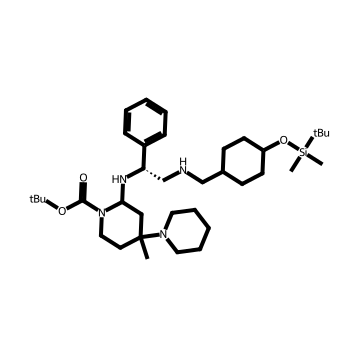 CC(C)(C)OC(=O)N1CCC(C)(N2CCCCC2)CC1N[C@@H](CNCC1CCC(O[Si](C)(C)C(C)(C)C)CC1)c1ccccc1